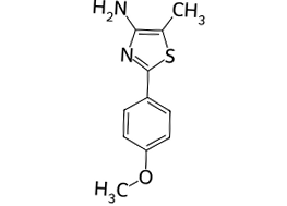 COc1ccc(-c2nc(N)c(C)s2)cc1